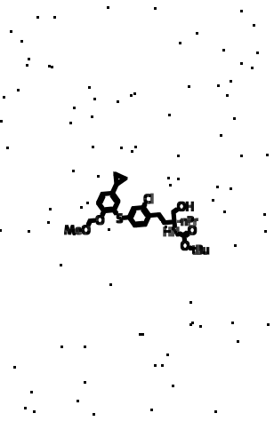 CCC[C@@](CO)(CCc1ccc(Sc2cc(C3CC3)ccc2OCOC)cc1Cl)NC(=O)OC(C)(C)C